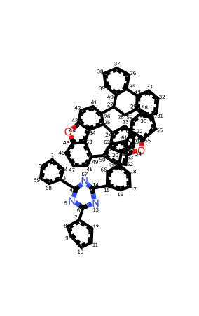 c1ccc(-c2nc(-c3ccccc3)nc(-c3cccc(-c4cccc(-c5c(C6Cc7ccccc7-c7ccccc76)ccc6oc7cccc(-c8ccc9oc%10ccccc%10c9c8)c7c56)c4)c3)n2)cc1